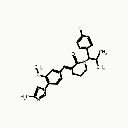 COc1cc(C=C2CCCN(C(c3ccc(F)cc3)C(C)C)C2=O)ccc1-n1cnc(C)c1